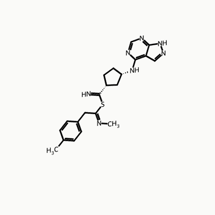 C/N=C(/Cc1ccc(C)cc1)SC(=N)[C@@H]1CC[C@H](Nc2ncnc3[nH]ncc23)C1